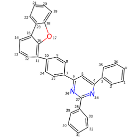 c1ccc(-c2cc(-c3ccc(-c4cccc5c4oc4ccccc45)cc3)nc(-c3ccccc3)n2)cc1